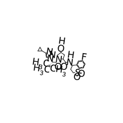 CC(C)(C)[C@@H](C(=O)N1CC(O)CC1C(=O)NC1CCS(=O)(=O)c2ccc(F)cc21)n1cc(C2CC2)nn1